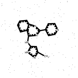 Cc1cc(Nc2nc(-c3ccncc3)nc3ccccc23)[nH]n1